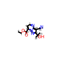 CCOC(=O)c1ccnc2c(C#N)c(C(C)(C)O)nn12